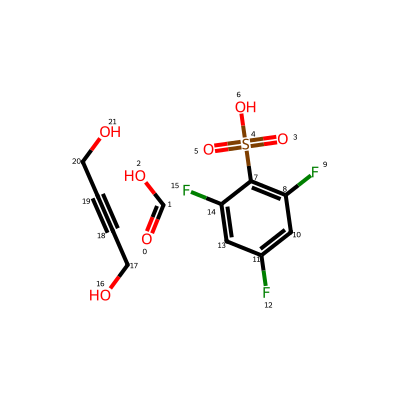 O=CO.O=S(=O)(O)c1c(F)cc(F)cc1F.OCC#CCO